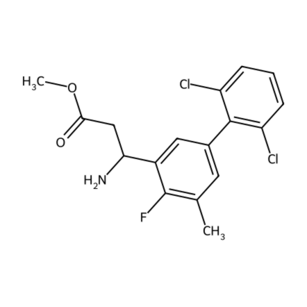 COC(=O)CC(N)c1cc(-c2c(Cl)cccc2Cl)cc(C)c1F